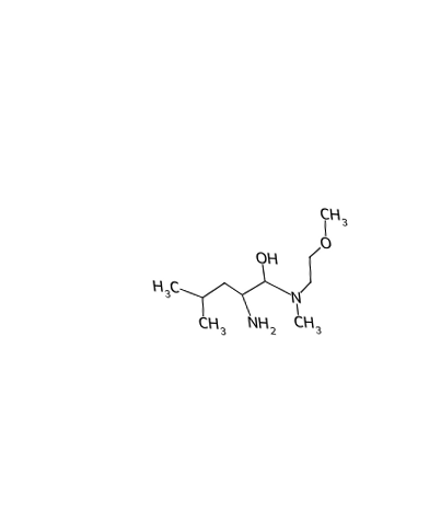 COCCN(C)C(O)C(N)CC(C)C